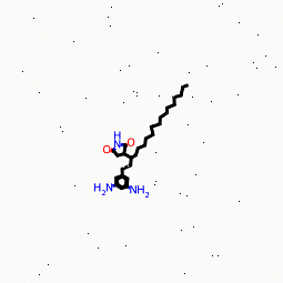 CCCCCCCCCCCCCCCC(CCc1cc(N)cc(N)c1)C1CC(=O)NC1=O